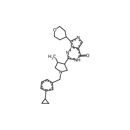 CC1CN(Cc2cccc(C3CC3)c2)CC1c1nn2c(C3CCOCC3)ncc2c(=O)[nH]1